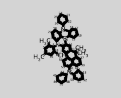 Cc1cc(C)c(N2c3cc4c(cc3B3c5ccccc5N(c5ccccc5)c5cccc2c53)C(C)(C)c2cccc3c(N(c5ccccc5)c5ccccc5)ccc-4c23)c(C)c1